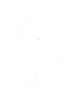 COc1cc(/C=C/c2nc3n(n2)CCCC3(O)c2ccc(C#N)cc2)ccc1-n1cnc(C)c1